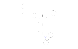 CC1(C)C2=CC(N(C3=CCC(C4=CCCC(n5c6ccccc6c6ccccc65)=C4)C=C3)c3ccc(C4=CC5CC=CC=C5C5=CCCCC54)cc3)=CCC2c2ccccc21